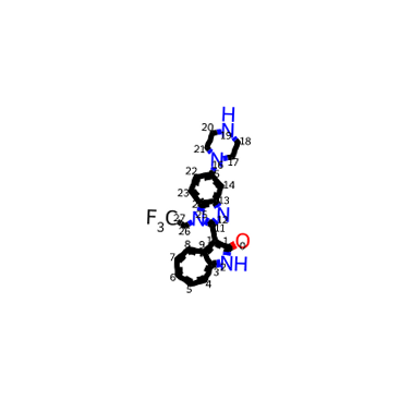 O=c1[nH]c2cccccc-2c1-c1nc2cc(N3CCNCC3)ccc2n1CC(F)(F)F